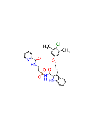 Cc1cc(OCCCc2c(C(=O)NS(=O)(=O)CCNC(=O)c3ccccn3)[nH]c3ccccc23)cc(C)c1Cl